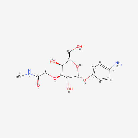 CCCNC(=O)CO[C@H]1[C@@H](O)[C@@H](CO)O[C@H](Oc2ccc(N)cc2)[C@@H]1O